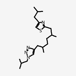 CC(C)Cc1csc(CC(C)CCC(C)Cc2cn(CC(C)C)nn2)n1